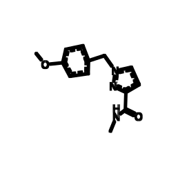 CNC(=O)c1ccn(Cc2ccc(OC)cc2)n1